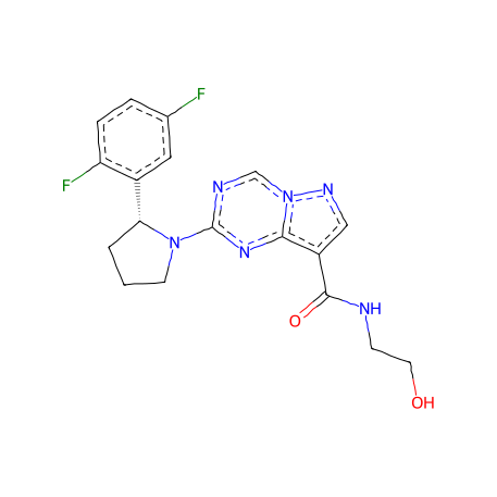 O=C(NCCO)c1cnn2cnc(N3CCC[C@@H]3c3cc(F)ccc3F)nc12